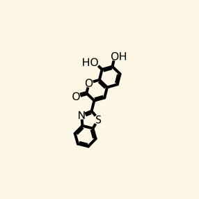 O=c1oc2c(O)c(O)ccc2cc1-c1nc2ccccc2s1